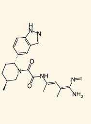 C=N/C(N)=C(C)\C=C(/C)NC(=O)C(=O)N1C[C@@H](C)CC[C@@H]1c1ccc2[nH]ncc2c1